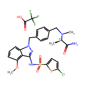 COc1cccc2c1c(NS(=O)(=O)c1ccc(Cl)s1)nn2Cc1ccc(CN(C)[C@H](C)C(N)=O)cc1.O=C(O)C(F)(F)F